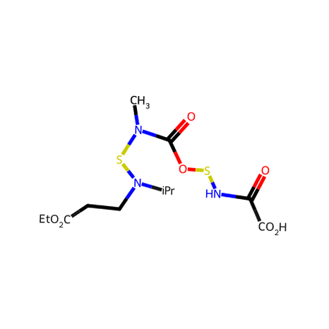 CCOC(=O)CCN(SN(C)C(=O)OSNC(=O)C(=O)O)C(C)C